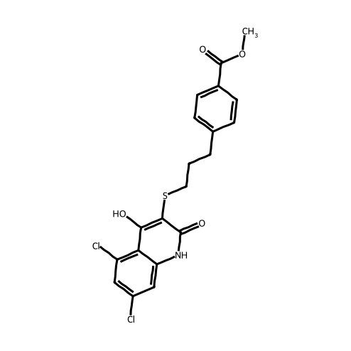 COC(=O)c1ccc(CCCSc2c(O)c3c(Cl)cc(Cl)cc3[nH]c2=O)cc1